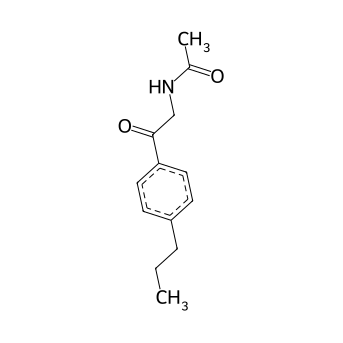 CCCc1ccc(C(=O)CNC(C)=O)cc1